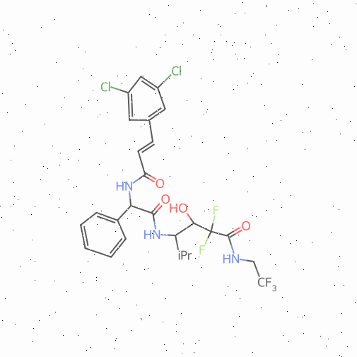 CC(C)C(NC(=O)C(NC(=O)/C=C/c1cc(Cl)cc(Cl)c1)c1ccccc1)C(O)C(F)(F)C(=O)NCC(F)(F)F